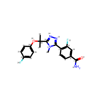 Cn1c(-c2ccc(C(N)=O)cc2F)nnc1C(C)(C)Oc1ccc(F)cc1